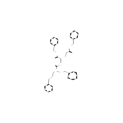 O=C(CC[C@H](NC(=O)N(CCCc1ccccc1)OCc1ccccc1)C(=O)OCc1ccccc1)OCc1ccccc1